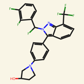 OC1CCN(c2ccc(-c3c4cccc(C(F)(F)F)c4nn3C(F)c3cccc(F)c3F)cc2)C1